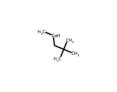 [CH3][GaH][CH2]C(C)(C)C